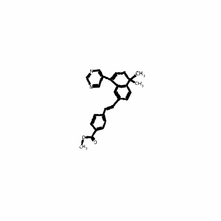 COC(=O)c1ccc(C=Cc2ccc3c(c2)C(c2cncnc2)=CCC3(C)C)cc1